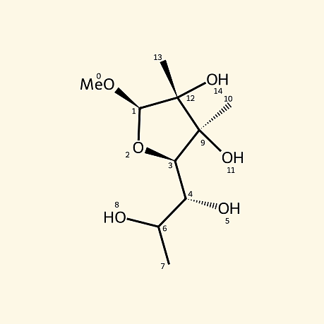 CO[C@@H]1O[C@H]([C@H](O)C(C)O)[C@](C)(O)[C@@]1(C)O